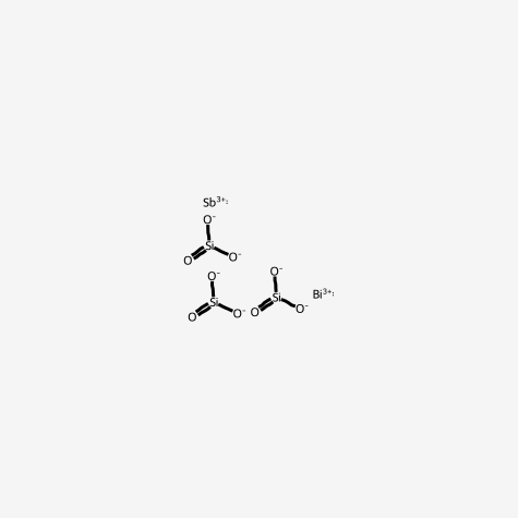 O=[Si]([O-])[O-].O=[Si]([O-])[O-].O=[Si]([O-])[O-].[Bi+3].[Sb+3]